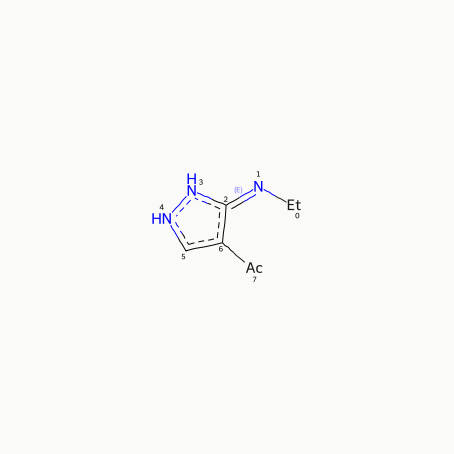 CC/N=c1/[nH][nH]cc1C(C)=O